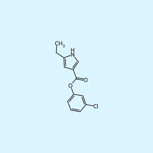 CCc1cc(C(=O)Oc2cccc(Cl)c2)c[nH]1